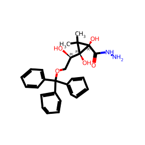 CC1(C)[C@](O)(C(=O)NN)[C@]1(O)[C@H](O)COC(c1ccccc1)(c1ccccc1)c1ccccc1